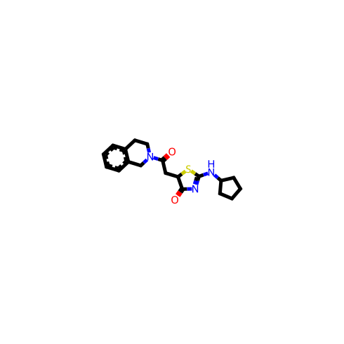 O=C1N=C(NC2CCCC2)SC1CC(=O)N1CCc2ccccc2C1